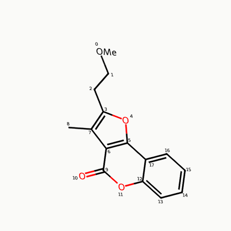 COCCc1oc2c(c1C)c(=O)oc1ccccc12